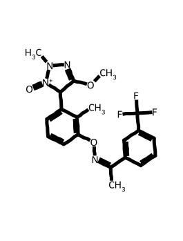 COC1=NN(C)[N+](=O)C1c1cccc(ON=C(C)c2cccc(C(F)(F)F)c2)c1C